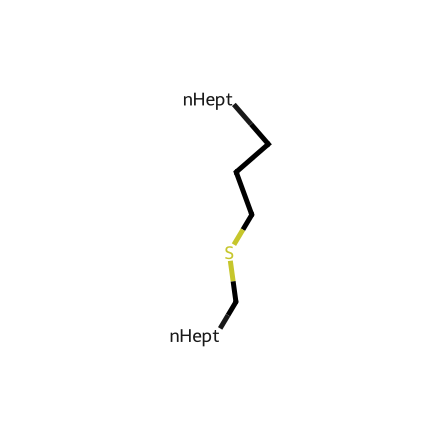 [CH2]CCCCCCCCCSCCCCCCCC